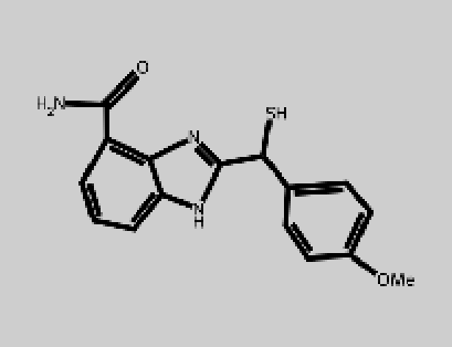 COc1ccc(C(S)c2nc3c(C(N)=O)cccc3[nH]2)cc1